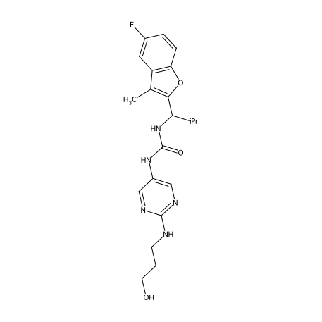 Cc1c(C(NC(=O)Nc2cnc(NCCCO)nc2)C(C)C)oc2ccc(F)cc12